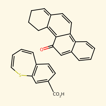 O=C(O)c1ccc2c(c1)SC=CC=C2.O=C1C=c2ccccc2=c2ccc3c(c21)CCCC=3